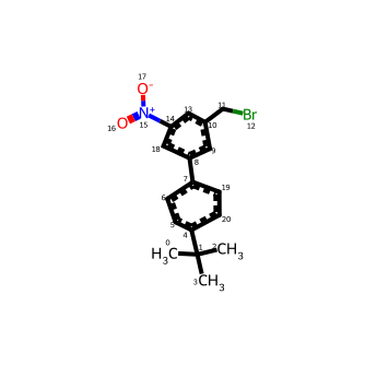 CC(C)(C)c1ccc(-c2cc(CBr)cc([N+](=O)[O-])c2)cc1